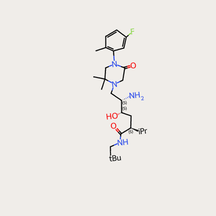 Cc1ccc(F)cc1N1CC(C)(C)N(C[C@H](N)[C@@H](O)C[C@H](C(=O)NCC(C)(C)C)C(C)C)CC1=O